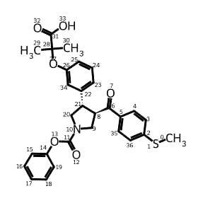 CSc1ccc(C(=O)[C@H]2CN(C(=O)Oc3ccccc3)C[C@@H]2c2cccc(OC(C)(C)C(=O)O)c2)cc1